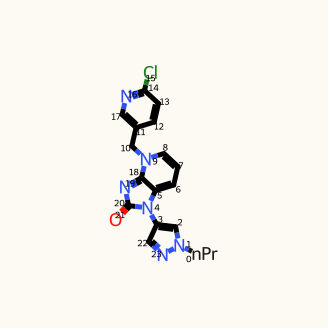 CCCn1cc(-n2c3cccn(Cc4ccc(Cl)nc4)c-3nc2=O)cn1